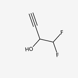 C#CC(O)C(F)F